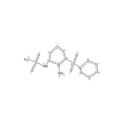 CS(=O)(=O)Nc1cccc(S(=O)(=O)c2ccccc2)c1[N+](=O)[O-]